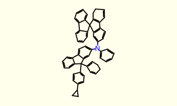 C1=CC(C2(c3ccc(C4CC4)cc3)c3ccccc3-c3ccc(N(c4ccccc4)c4ccc5c(c4)C4(C6=C5C=CCC6)c5ccccc5-c5ccccc54)cc32)=CCC1